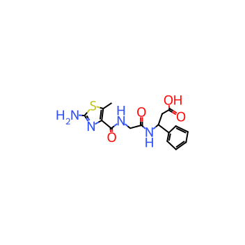 Cc1sc(N)nc1C(=O)NCC(=O)NC(CC(=O)O)c1ccccc1